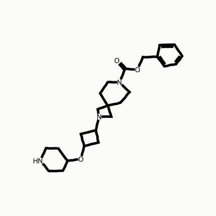 O=C(OCc1ccccc1)N1CCC2(CC1)CN(C1CC(OC3CCNCC3)C1)C2